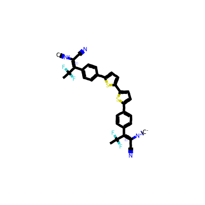 [C-]#[N+]/C(C#N)=C(/c1ccc(-c2ccc(-c3ccc(-c4ccc(/C(=C(/C#N)[N+]#[C-])C(C)(F)F)cc4)s3)s2)cc1)C(C)(F)F